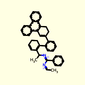 C/C=N\C(=N/C(C)C1=C(c2ccccc2C2=Cc3c(c4ccccc4c4ccccc34)CC2)CCC=C1)c1ccccc1